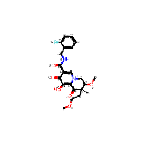 COCC[C@]1(C)C(=O)c2c(O)c(=O)c(C(=O)NCc3ccccc3F)cn2CC1OC